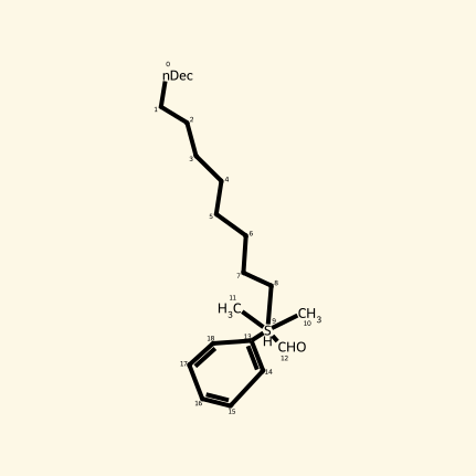 CCCCCCCCCCCCCCCCCC[SH](C)(C)(C=O)c1ccccc1